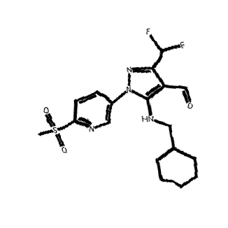 CS(=O)(=O)c1ccc(-n2nc(C(F)F)c(C=O)c2NCC2CCCCC2)cn1